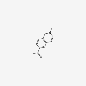 CC(=O)c1ccc2c(c1)C=CN(C)C2